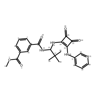 COC(=O)c1cccc(C(=O)NC(Nc2c(Nc3cccnc3)c(=O)c2=O)C(C)(C)C)c1